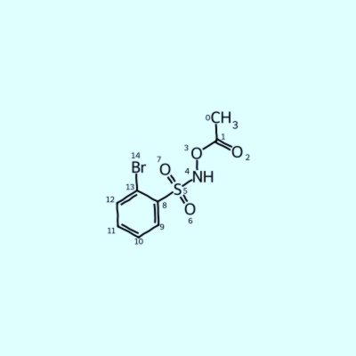 CC(=O)ONS(=O)(=O)c1ccccc1Br